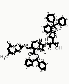 Cc1cc(=O)n2nc(SCC3=C(C(=O)OC(c4ccccc4)c4ccccc4)N4C(=O)[C@@H](NC(=O)/C(=N\O)c5csc(NC(c6ccccc6)(c6ccccc6)c6ccccc6)n5)[C@H]4SC3)sc2n1